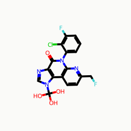 O=c1c2ncn(C(O)(O)O)c2c2ccc(CF)nc2n1-c1cccc(F)c1Cl